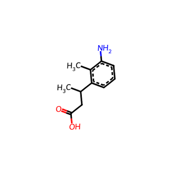 Cc1c(N)cccc1C(C)CC(=O)O